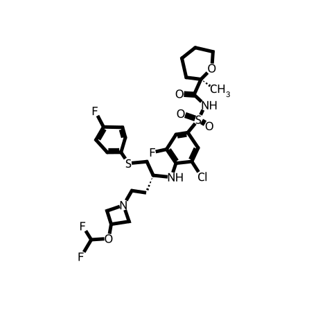 C[C@]1(C(=O)NS(=O)(=O)c2cc(F)c(N[C@H](CCN3CC(OC(F)F)C3)CSc3ccc(F)cc3)c(Cl)c2)CCCCO1